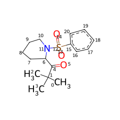 CC(C)(C)C(=O)C1CCCCN1S(=O)(=O)c1ccccc1